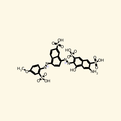 COc1ccc(/N=N/c2ccc(/N=N/c3c(S(=O)(=O)O)cc4cc(S(=O)(=O)O)c(N)cc4c3O)c3cc(S(=O)(=O)O)ccc23)c(S(=O)(=O)O)c1